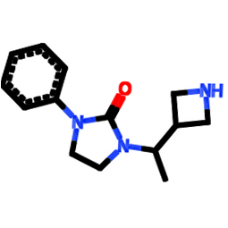 CC(C1CNC1)N1CCN(c2ccccc2)C1=O